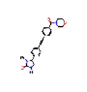 [2H]N1CC(c2ccc(C#Cc3ccc(C(=O)N4CCOCC4)cc3)cc2)N(C(C)C)C1=O